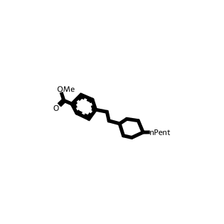 CCCCCC1CCC(CCc2ccc(C(=O)OC)cc2)CC1